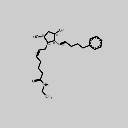 CCNC(=O)CCC/C=C\C[C@@H]1[C@@H](/C=C/[CH]CCc2ccccc2)[C@H](O)C[C@@H]1O